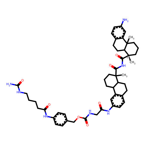 CC1(C(=O)NC(=O)[C@@]2(C)CCCC3(C)c4cc(N)ccc4CCC32)CCCC2c3cc(NC(=O)CNC(=O)OCc4ccc(NC(=O)CCCCNC(N)=O)cc4)ccc3CCC21